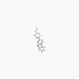 CCCC1CCN(c2ccn3c(n2)nc2ccccc23)CC1